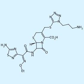 CCON=C(C(=O)NC1C(=O)N2C(C(=O)O)=C(CSc3nnnn3CCCN)CS[C@@H]12)c1nsc(N)n1